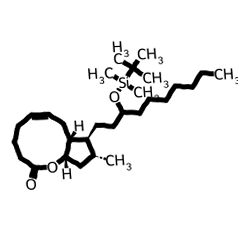 CCCCCCCC(CC[C@@H]1[C@H]2C/C=C\CCCC(=O)O[C@H]2C[C@H]1C)O[Si](C)(C)C(C)(C)C